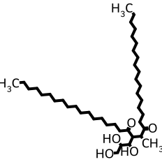 CCCCCCCCCCCCCCCCCC(=O)C(C)C(C(=O)CCCCCCCCCCCCCCCCC)C(O)C(O)CO